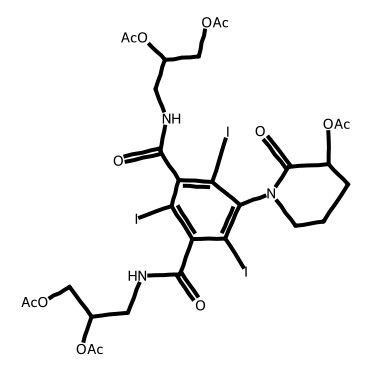 CC(=O)OCC(CNC(=O)c1c(I)c(C(=O)NCC(COC(C)=O)OC(C)=O)c(I)c(N2CCCC(OC(C)=O)C2=O)c1I)OC(C)=O